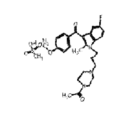 COc1ccc(C(=O)c2c(C)n(CCCN3CCN(C(C)=O)CC3)c3ccc(F)cc23)cc1.CS(=O)(=O)O